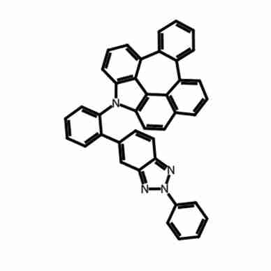 c1ccc(-n2nc3ccc(-c4ccccc4-n4c5cccc6c5c5c7c(cccc7ccc54)-c4ccccc4-6)cc3n2)cc1